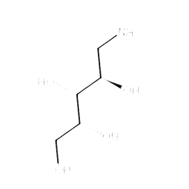 NC[C@@H](O)[C@@H](O)[C@H](O)CO